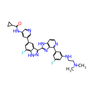 CN(C)CCNc1cc(F)cc(-c2nccc3[nH]c(-c4n[nH]c5c(F)cc(-c6cncc(NC(=O)C7CC7)c6)cc45)nc23)c1